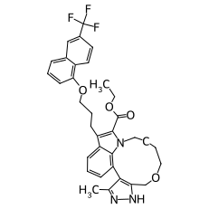 CCOC(=O)c1c(CCCOc2cccc3cc(C(F)(F)F)ccc23)c2cccc3c2n1CCCCOCc1[nH]nc(C)c1-3